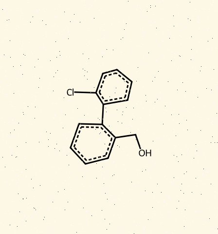 OCc1ccccc1-c1ccccc1Cl